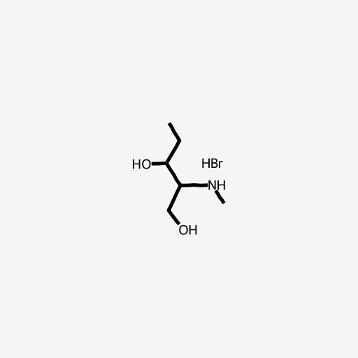 Br.CCC(O)C(CO)NC